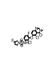 Cn1cnc2ccc(Oc3c(F)ccc(NS(=O)(=O)N4CC[C@@H](F)C4)c3Cl)c(Cl)c2c1=O